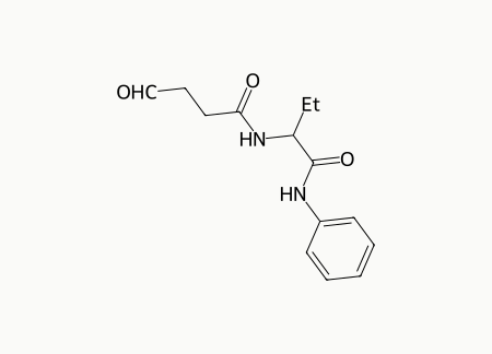 CCC(NC(=O)CCC=O)C(=O)Nc1ccccc1